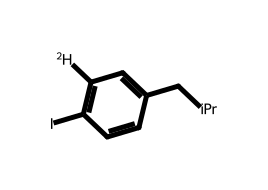 [2H]c1cc(CC(C)C)ccc1I